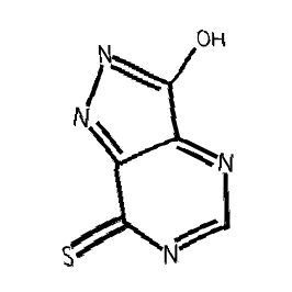 OC1=NN=C2C(=S)N=CN=C12